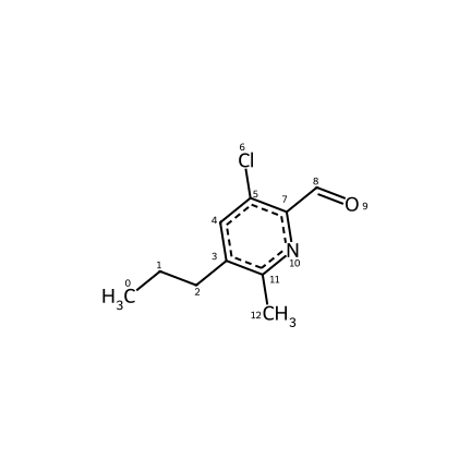 CCCc1cc(Cl)c(C=O)nc1C